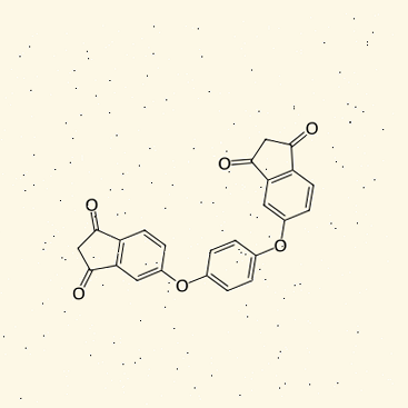 O=C1CC(=O)c2cc(Oc3ccc(Oc4ccc5c(c4)C(=O)CC5=O)cc3)ccc21